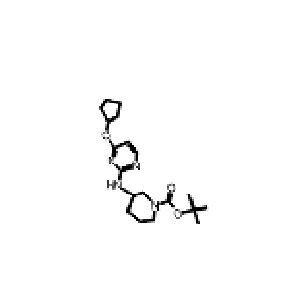 CC(C)(C)OC(=O)N1CCCC(Nc2nccc(OC3CCCC3)n2)C1